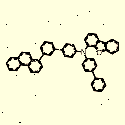 c1ccc(-c2ccc(N(c3ccc(-c4cccc(-c5cccc6c5ccc5ccccc56)c4)cc3)c3cccc4c3oc3ccccc34)cc2)cc1